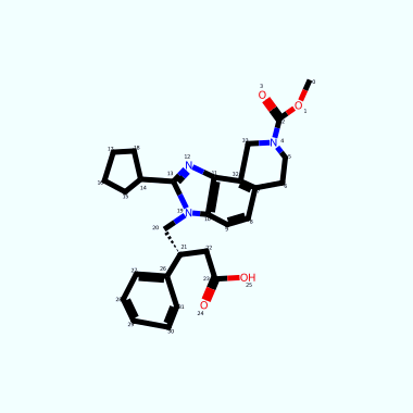 COC(=O)N1CCc2ccc3c(nc(C4CCCC4)n3C[C@H](CC(=O)O)c3ccccc3)c2C1